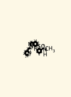 CNC(=O)c1cccc(F)c1Sc1ccc2cnn(C=Cc3ccccn3)c2c1